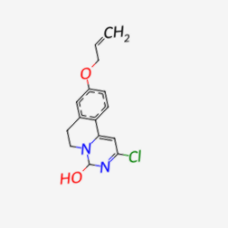 C=CCOc1ccc2c(c1)CCN1C2=CC(Cl)=NC1O